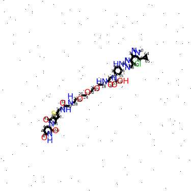 Cn1ncc(-c2nc(N[C@H]3CC[C@H](N(CC(=O)NCCOCCOCCOCCNCC(=O)NCc4cc5c(s4)C(=O)N(C4CCC(=O)NC4=O)C5)C(=O)O)CC3)ncc2Cl)c1CC1CC1